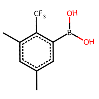 Cc1cc(C)c(C(F)(F)F)c(B(O)O)c1